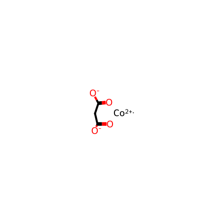 O=C([O-])CC(=O)[O-].[Co+2]